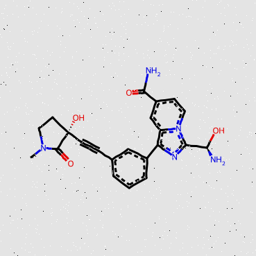 CN1CC[C@@](O)(C#Cc2cccc(-c3nc([C@H](N)O)n4ccc(C(N)=O)cc34)c2)C1=O